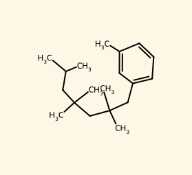 Cc1cccc(CC(C)(C)CC(C)(C)CC(C)C)c1